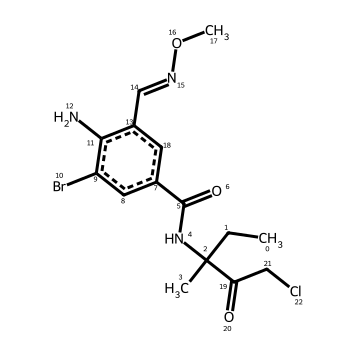 CCC(C)(NC(=O)c1cc(Br)c(N)c(C=NOC)c1)C(=O)CCl